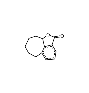 O=C1OC2CCCCCc3cccc1c32